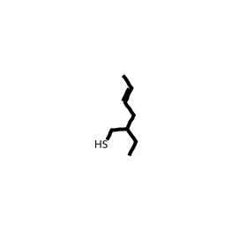 CC=CCC(CC)CS